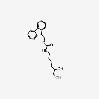 O=C(NCCCCC(O)CO)OCC1c2ccccc2-c2ccccc21